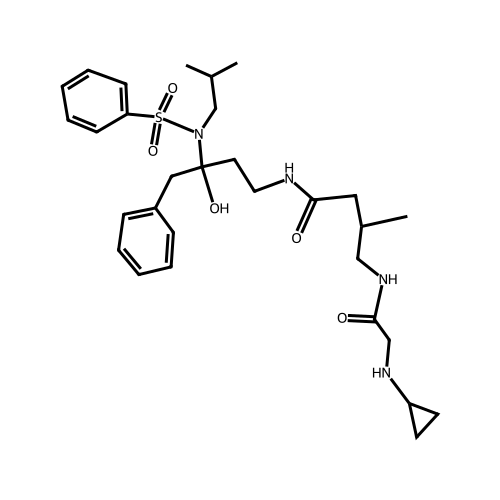 CC(C)CN(C(O)(CCNC(=O)CC(C)CNC(=O)CNC1CC1)Cc1ccccc1)S(=O)(=O)c1ccccc1